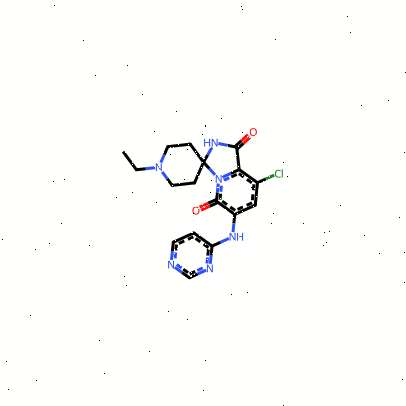 CCN1CCC2(CC1)NC(=O)c1c(Cl)cc(Nc3ccncn3)c(=O)n12